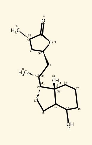 C[C@H](C[C@H]1C[C@H](C)C(=O)O1)[C@H]1CCC2C(O)CCC[C@]21C